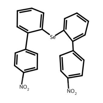 O=[N+]([O-])c1ccc(-c2ccccc2[Se]c2ccccc2-c2ccc([N+](=O)[O-])cc2)cc1